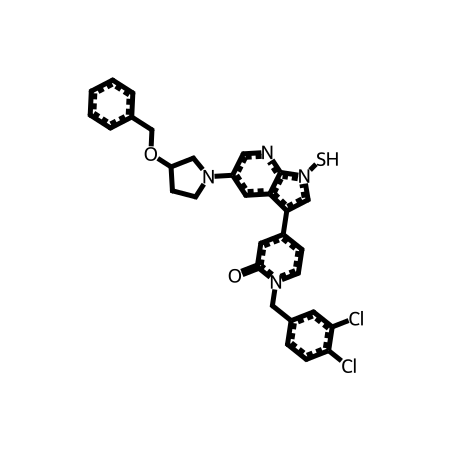 O=c1cc(-c2cn(S)c3ncc(N4CCC(OCc5ccccc5)C4)cc23)ccn1Cc1ccc(Cl)c(Cl)c1